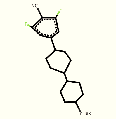 CCCCCCC1CCC(C2CCC(c3cc(F)c(C#N)c(F)c3)CC2)CC1